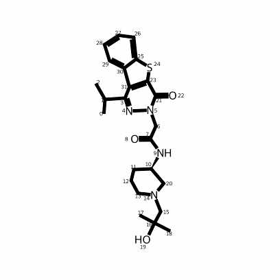 CC(C)c1nn(CC(=O)N[C@@H]2CCCN(CC(C)(C)O)C2)c(=O)c2sc3ccccc3c12